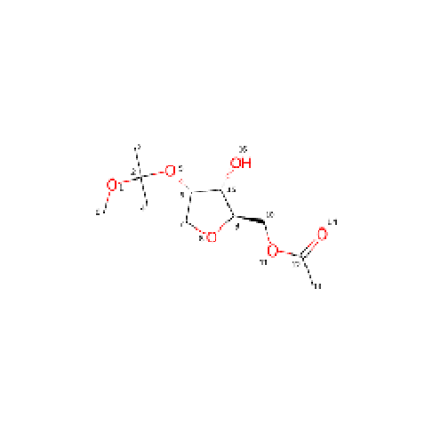 COC(C)(C)O[C@H]1CO[C@H](COC(C)=O)[C@H]1O